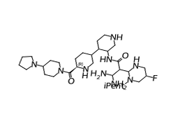 CCCC(C)N1CC(F)CNC1C(C(=O)NC1CNCCC1C1CC[C@H](C(=O)N2CCC(N3CCCC3)CC2)NC1)C(N)N